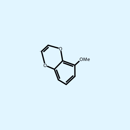 COc1cccc2c1OC=[C]O2